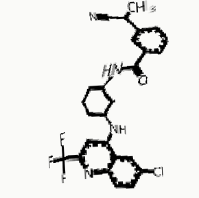 CC(C#N)c1cccc(C(=O)N[C@@H]2CCC[C@H](Nc3cc(C(F)(F)F)nc4ccc(Cl)cc34)C2)c1